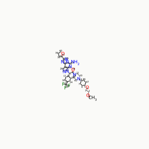 COCCOc1ccc(N2CCN(C(=O)C(c3ccc(C(F)(F)F)cc3)n3ncc4c3nc(N)n3nc(-c5ccco5)nc43)CC2)cc1